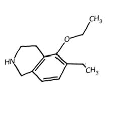 C[CH]c1ccc2c(c1OCC)CCNC2